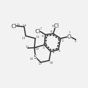 COc1cc2c(c(Cl)c1Cl)C(C)(CCCCl)SCC2